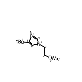 COCCn1cnc(C(C)(C)C)c1